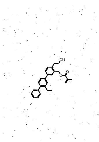 C=C(C)C(=O)OCc1cc(-c2ccc(-c3ccccc3)c(CC)c2)ccc1CCO